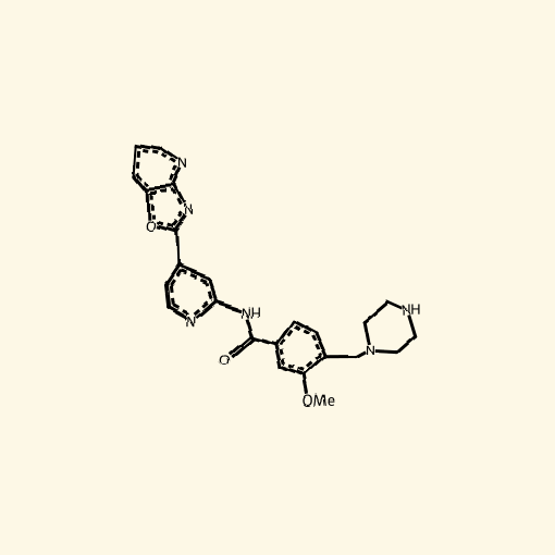 COc1cc(C(=O)Nc2cc(-c3nc4ncccc4o3)ccn2)ccc1CN1CCNCC1